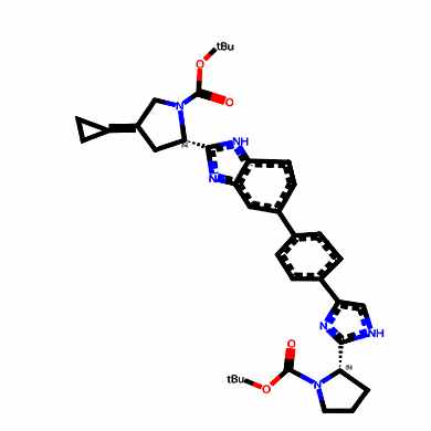 CC(C)(C)OC(=O)N1CCC[C@H]1c1nc(-c2ccc(-c3ccc4[nH]c([C@@H]5CC(=C6CC6)CN5C(=O)OC(C)(C)C)nc4c3)cc2)c[nH]1